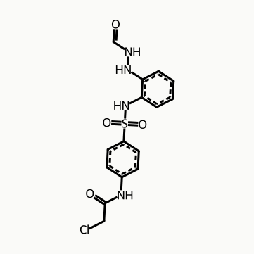 O=CNNc1ccccc1NS(=O)(=O)c1ccc(NC(=O)CCl)cc1